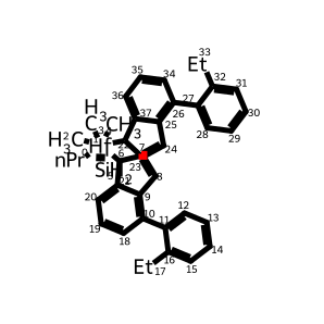 CC[CH2][Hf]([CH3])([CH3])([CH3])(=[SiH2])([CH]1C=Cc2c(-c3ccccc3CC)cccc21)[CH]1C=Cc2c(-c3ccccc3CC)cccc21